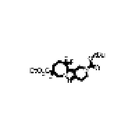 CCOC(=O)C1(F)CCC(F)(F)c2c3c(nn2C1)CCN(C(=O)OC(C)(C)C)C3